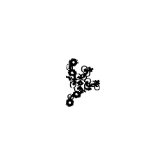 CCCN(Cc1ccc(Oc2ccccc2)cc1)C(=O)[C@H]1[C@@H](C(=O)OCOC(=O)C(C)(C)C)[C@H](C(=O)OCOC(=O)C(C)(C)C)[C@@H]1C(=O)N(CCC)Cc1ccc(Oc2ccccc2)cc1